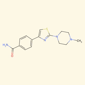 CN1CCN(c2nc(-c3ccc(C(N)=O)cc3)cs2)CC1